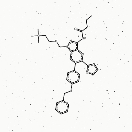 CCCC(=O)Nc1nn(COCC[Si](C)(C)C)c2cc(-c3ccc(OCc4ccccc4)cc3)c(-c3ccco3)cc12